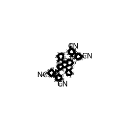 Cc1ccccc1-c1c2ccc(-n3c4ccc(C#N)cc4c4cc(C#N)ccc43)cc2c(-c2ccccc2C)c2ccc(-n3c4ccc(C#N)cc4c4cc(C#N)ccc43)cc12